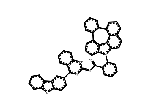 N=C(/N=c1/nc(-c2ccc3oc4ccccc4c3c2)c2ccccc2[nH]1)c1ccccc1-n1c2cccc3c2c2c4c(cccc4ccc21)-c1ccccc1-3